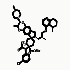 COC(=O)C1(N(C(=O)C(F)(F)F)c2cccc(Cl)c2)CCC2(CC1)c1cc(OC(C)CN3CCN(C)CC3)c(Cl)cc1C[C@@H]2C[C@@H](C)COc1ccnc2c1[C@H](C)CCC2